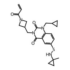 C=CC(=O)N1CC(Cn2c(=O)c3cc(SNC4(C)CC4)ccc3n(CC3CC3)c2=O)C1